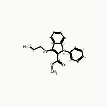 CCCOc1c(C(=O)OC)n(-c2ccccc2)c2ccccc12